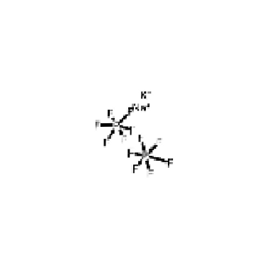 F[P-](F)(F)(F)(F)F.F[P-](F)(F)(F)(F)F.[K+].[Na+]